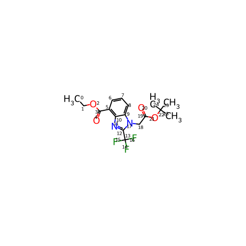 CCOC(=O)c1cccc2c1nc(C(F)(F)F)n2CC(=O)OC(C)(C)C